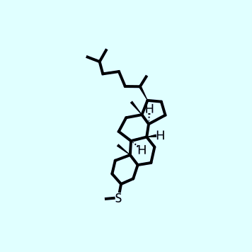 CSC1CC[C@@]2(C)C(CC[C@H]3[C@@H]4CC[C@H](C(C)CCCC(C)C)[C@@]4(C)CC[C@@H]32)C1